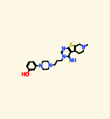 CN1CCc2c(sc3ncn(CCCN4CCN(c5cccc(O)c5)CC4)c(=N)c23)C1